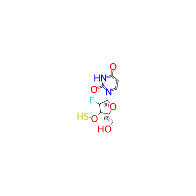 O=c1ccn([C@@H]2O[C@H](CO)C(OS)C2F)c(=O)[nH]1